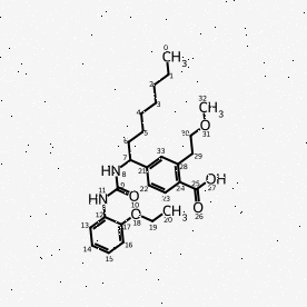 CCCCCCCC(NC(=O)Nc1ccccc1OCC)c1ccc(C(=O)O)c(CCOC)c1